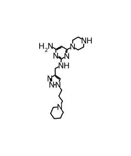 Nc1cc(N2CCNCC2)nc(NCc2cn(CCCN3CCCCC3)nn2)n1